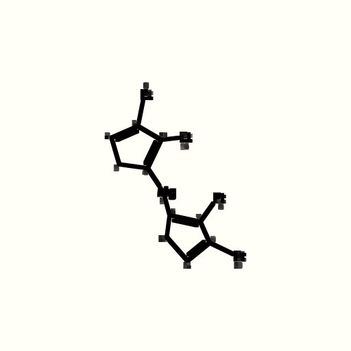 CCC1=CC[C]([Mg][C]2=C(CC)C(CC)=CC2)=C1CC